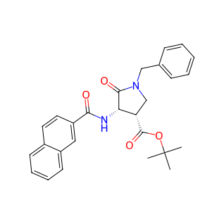 CC(C)(C)OC(=O)[C@H]1CN(Cc2ccccc2)C(=O)[C@H]1NC(=O)c1ccc2ccccc2c1